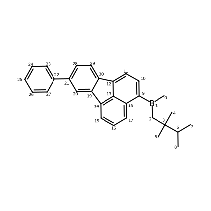 CB(CC(C)(C)C(C)C)c1ccc2c3c(cccc13)-c1cc(-c3ccccc3)ccc1-2